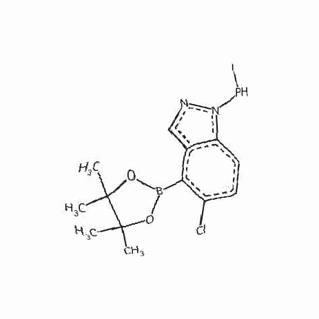 CC1(C)OB(c2c(Cl)ccc3c2cnn3PI)OC1(C)C